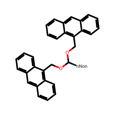 CCCCCCCCCC(OCc1c2ccccc2cc2ccccc12)OCc1c2ccccc2cc2ccccc12